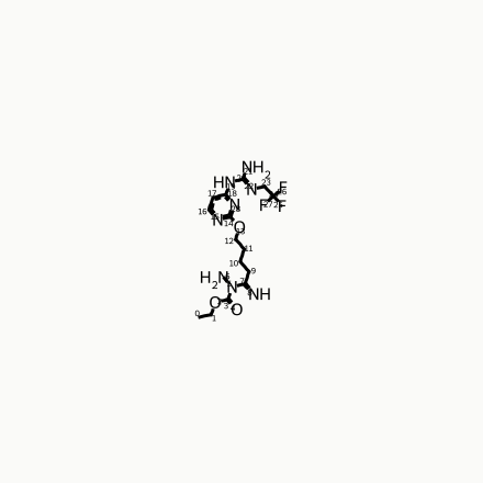 CCOC(=O)N(N)C(=N)CCCCOc1nccc(NC(N)=NCC(F)(F)F)n1